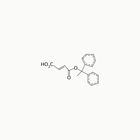 CC(OC(=O)C=CC(=O)O)(c1ccccc1)c1ccccc1